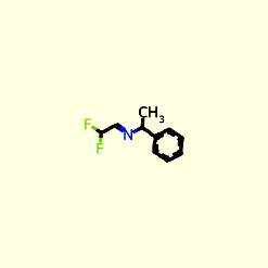 CC(N=CC(F)F)c1ccccc1